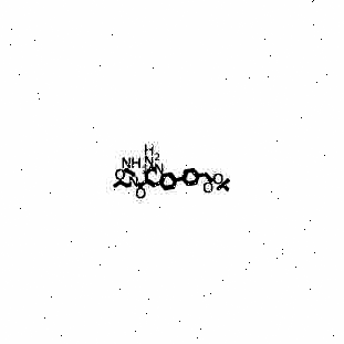 CCCN(CC(N)=O)C(=O)C1=Cc2ccc(-c3ccc(CC(=O)OC(C)(C)C)cc3)cc2N=C(N)C1